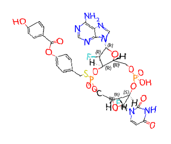 Nc1ncnc2c1ncn2[C@@H]1O[C@@H]2COP(=O)(O)O[C@@H]3[C@H](F)[C@@H](COP(=O)(SCc4ccc(OC(=O)c5ccc(O)cc5)cc4)O[C@H]2[C@H]1F)O[C@H]3n1ccc(=O)[nH]c1=O